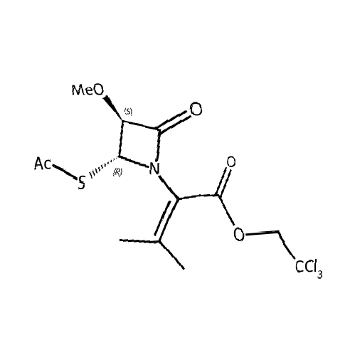 CO[C@H]1C(=O)N(C(C(=O)OCC(Cl)(Cl)Cl)=C(C)C)[C@@H]1SC(C)=O